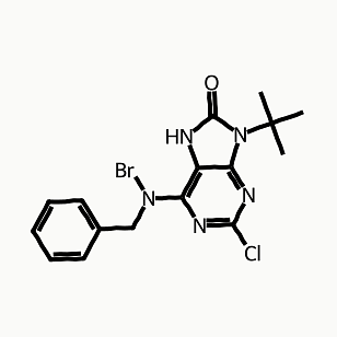 CC(C)(C)n1c(=O)[nH]c2c(N(Br)Cc3ccccc3)nc(Cl)nc21